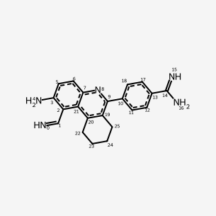 N=Cc1c(N)ccc2nc(-c3ccc(C(=N)N)cc3)c3c(c12)CCCC3